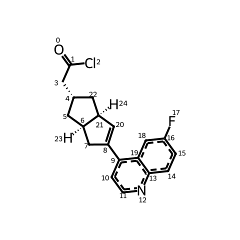 O=C(Cl)C[C@H]1C[C@@H]2CC(c3ccnc4ccc(F)cc34)=C[C@@H]2C1